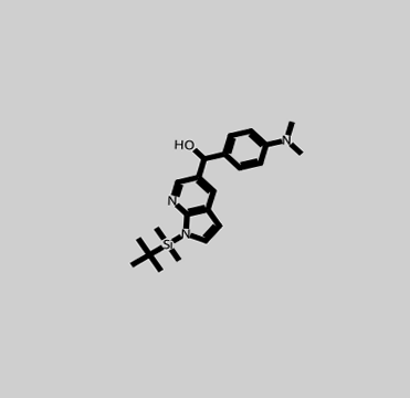 CN(C)c1ccc(C(O)c2cnc3c(ccn3[Si](C)(C)C(C)(C)C)c2)cc1